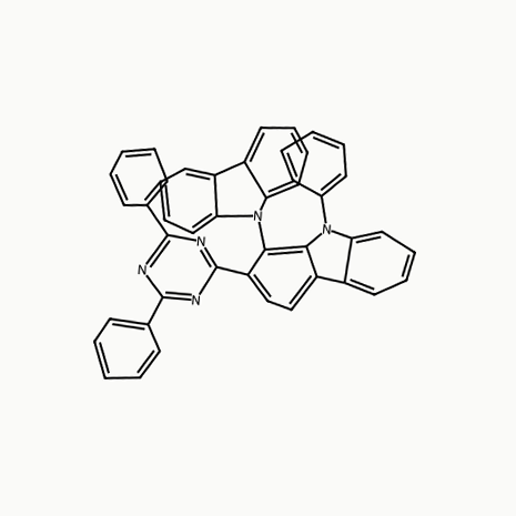 c1ccc(-c2nc(-c3ccccc3)nc(-c3ccc4c5ccccc5n(-c5ccccc5)c4c3-n3c4ccccc4c4ccccc43)n2)cc1